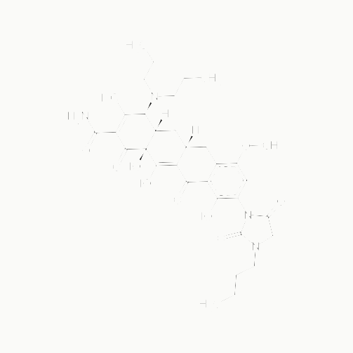 CCCCN1CC(=O)N(c2cc(OC)c3c(c2O)C(=O)C2=C(O)[C@]4(O)C(=O)C(C(N)=O)=C(O)[C@@H](N(CCC)CCC)[C@@H]4C[C@@H]2C3)C1=O